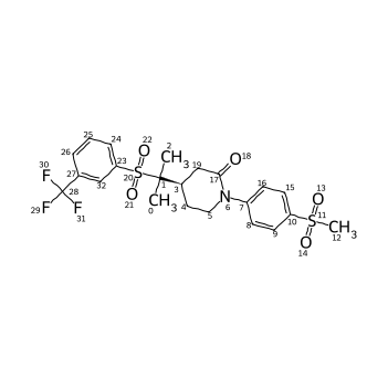 CC(C)([C@@H]1CCN(c2ccc(S(C)(=O)=O)cc2)C(=O)C1)S(=O)(=O)c1cccc(C(F)(F)F)c1